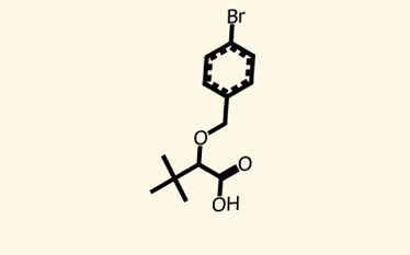 CC(C)(C)C(OCc1ccc(Br)cc1)C(=O)O